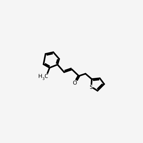 Cc1ccccc1C=CC(=O)Cc1cccs1